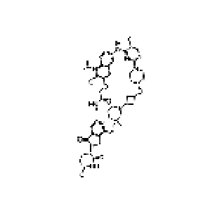 CNC(=O)COc1cc2cc(Nc3nc(N4CCC(OC5CC(N6CC[C@@H](c7ccc8c(c7F)CN([C@@H]7CCC(=O)NC7=O)C8=O)C(C)(C)C6)C5)CC4)ncc3Cl)ccc2n(C(C)C)c1=O